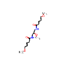 COCCCCC(=O)NCC(CNC(=O)CCCCOC)OC